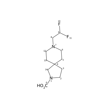 O=C(O)N1CCC2(CCN(CC(F)F)CC2)C1